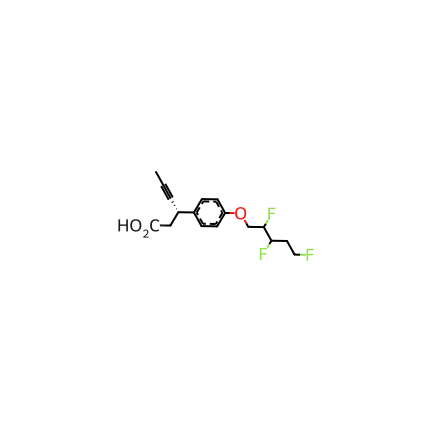 CC#C[C@@H](CC(=O)O)c1ccc(OCC(F)C(F)CCF)cc1